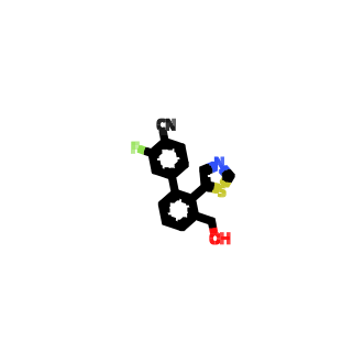 N#Cc1ccc(-c2cccc(CO)c2-c2cncs2)cc1F